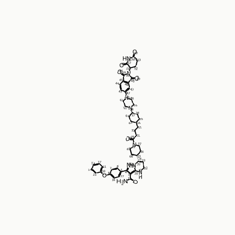 NC(=O)c1c(-c2ccc(Oc3ccccc3)cc2)nn2c1NCC[C@H]2C1CCN(C(=O)CCCC2CCC(N3CCN(c4ccc5c(c4)C(=O)N(C4CCC(=O)NC4=O)C5=O)CC3)CC2)CC1